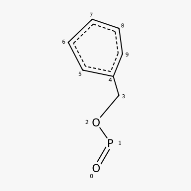 O=POCc1ccccc1